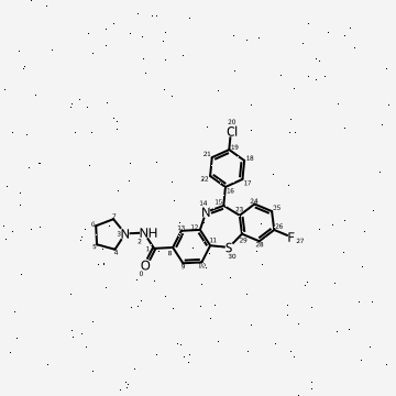 O=C(NN1CCCC1)c1ccc2c(c1)N=C(c1ccc(Cl)cc1)c1ccc(F)cc1S2